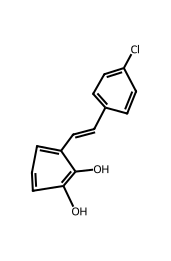 Oc1cccc(C=Cc2ccc(Cl)cc2)c1O